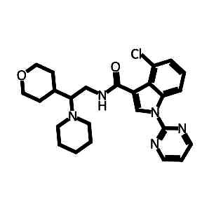 O=C(NCC(C1CCOCC1)N1CCCCC1)c1cn(-c2ncccn2)c2cccc(Cl)c12